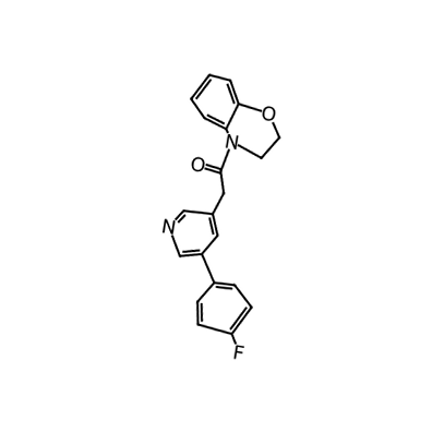 O=C(Cc1cncc(-c2ccc(F)cc2)c1)N1CCOc2ccccc21